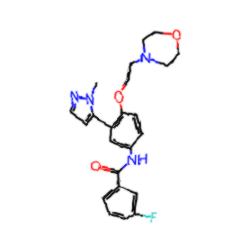 Cn1nccc1-c1cc(NC(=O)c2cccc(F)c2)ccc1OCCN1CCOCC1